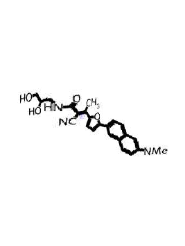 CNc1ccc2cc(-c3ccc(/C(C)=C(\C#N)C(=O)NCC(O)CO)o3)ccc2c1